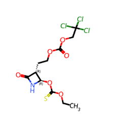 CCOC(=S)O[C@H]1NC(=O)[C@@H]1CCOC(=O)OCC(Cl)(Cl)Cl